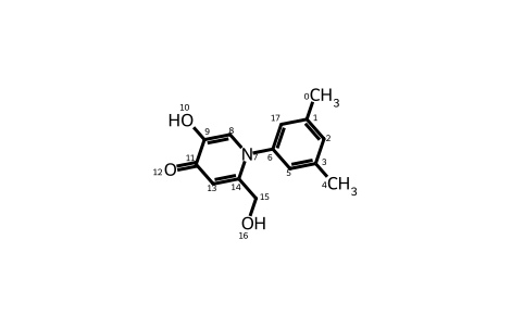 Cc1cc(C)cc(-n2cc(O)c(=O)cc2CO)c1